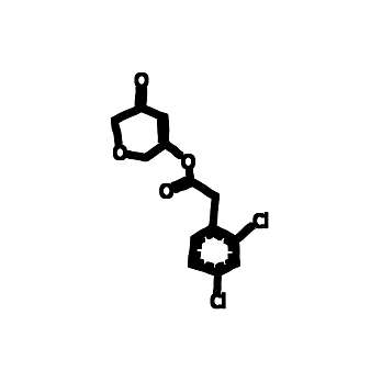 O=C1C=C(OC(=O)Cc2ccc(Cl)cc2Cl)COC1